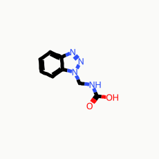 O=C(O)NCn1nnc2ccccc21